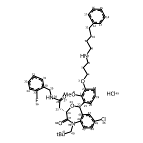 COc1c(OCCCNCCCCc2ccccc2)cccc1[C@@H]1O[C@@H](CC(=O)NCc2ccccc2F)C(=O)N(CC(C)(C)C)c2ccc(Cl)cc21.Cl